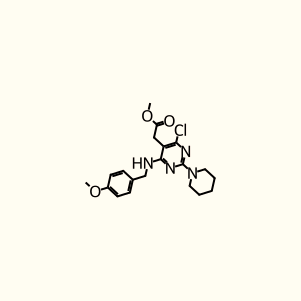 COC(=O)Cc1c(Cl)nc(N2CCCCC2)nc1NCc1ccc(OC)cc1